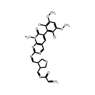 C=CC(=O)/N=C\C1COCC1/C=N\c1ncc2cc(-c3c(Cl)c(OC)cc(OC)c3Cl)c(=O)n(C)c2n1